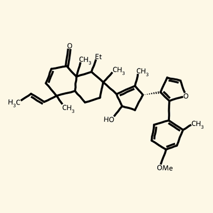 CC=CC1(C)C=CC(=O)C2(C)C1CCC(C)(C1=C(C)[C@H](c3ccoc3-c3ccc(OC)cc3C)CC1O)C2CC